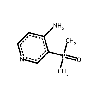 CP(C)(=O)c1cnccc1N